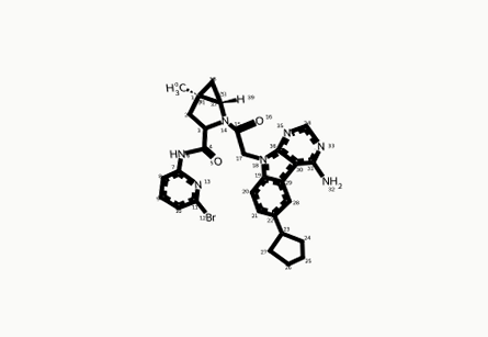 C[C@@]12CC(C(=O)Nc3cccc(Br)n3)N(C(=O)Cn3c4ccc(C5CCCC5)cc4c4c(N)ncnc43)[C@H]1C2